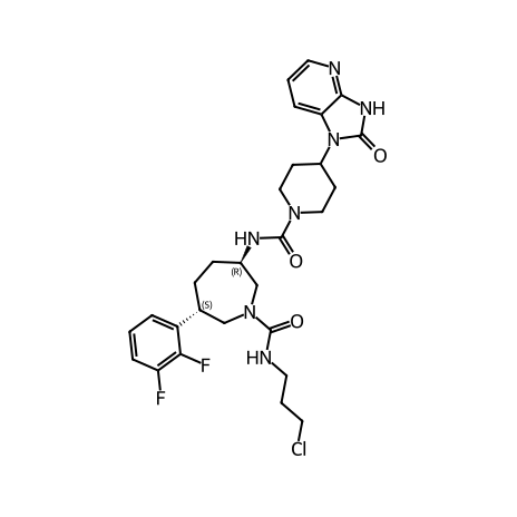 O=C(NCCCCl)N1C[C@H](NC(=O)N2CCC(n3c(=O)[nH]c4ncccc43)CC2)CC[C@@H](c2cccc(F)c2F)C1